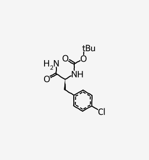 CC(C)(C)OC(=O)N[C@@H](Cc1ccc(Cl)cc1)C(N)=O